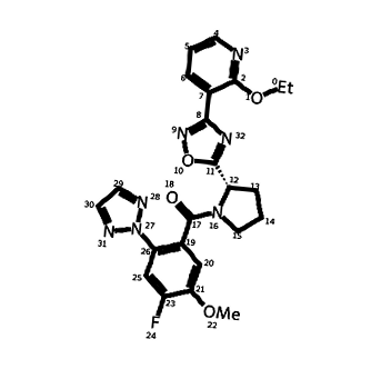 CCOc1ncccc1-c1noc([C@@H]2CCCN2C(=O)c2cc(OC)c(F)cc2-n2nccn2)n1